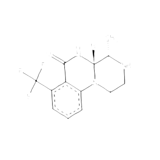 C[C@@H]1NCCN2c3cccc(C(F)(F)F)c3C(=O)N[C@H]12